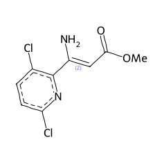 COC(=O)/C=C(\N)c1nc(Cl)ccc1Cl